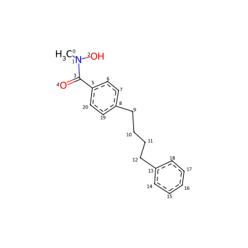 CN(O)C(=O)c1ccc(CCCCc2ccccc2)cc1